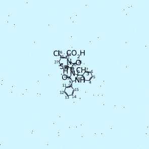 CC1(c2ccccc2)NC(c2ccccc2)C(=O)N1[C@@H]1C(=O)N2C(C(=O)O)=C(Cl)CS[C@H]12